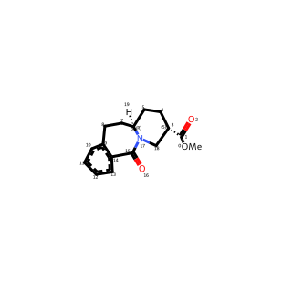 COC(=O)[C@H]1CC[C@@H]2CCc3ccccc3C(=O)N2C1